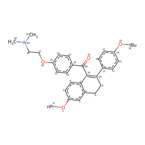 CCCOc1ccc2c(c1)CCC(c1ccc(OC(C)(C)C)cc1)=C2C(=O)c1ccc(OCCN(C)C)cc1